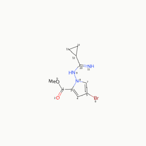 COC(=O)c1cc(Br)cn1NC(=N)C1CC1